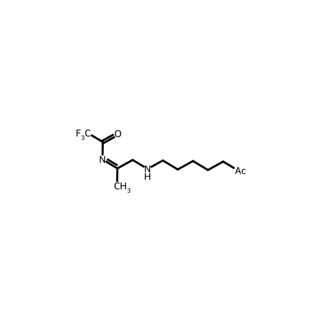 CC(=O)CCCCCNC/C(C)=N\C(=O)C(F)(F)F